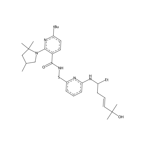 CCC(C/C=C/C(C)(C)O)Nc1cccc(SNC(=O)c2ccc(C(C)(C)C)nc2N2CC(C)CC2(C)C)n1